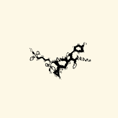 CNC(=O)c1c(-c2ccc(F)cc2)oc2nc(N(CCCCS(C)(=O)=O)S(C)(=O)=O)c(C3CC3)cc12